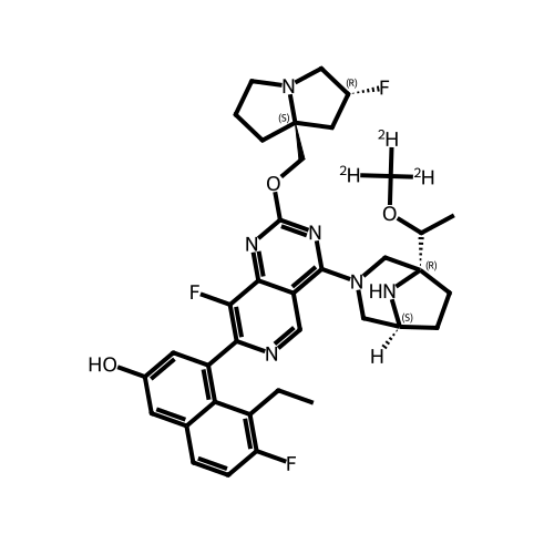 [2H]C([2H])([2H])OC(C)[C@@]12CC[C@@H](CN(c3nc(OC[C@@]45CCCN4C[C@H](F)C5)nc4c(F)c(-c5cc(O)cc6ccc(F)c(CC)c56)ncc34)C1)N2